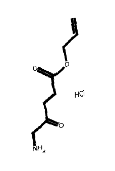 C=CCOC(=O)CCC(=O)CN.Cl